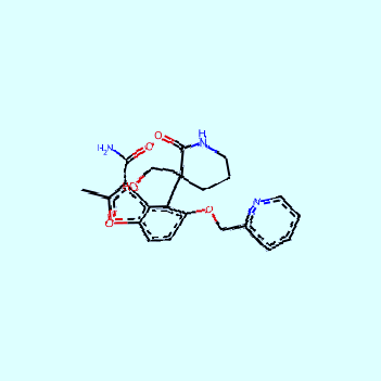 Cc1oc2ccc(OCc3ccccn3)c(C3(CO)CCCNC3=O)c2c1C(N)=O